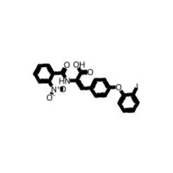 O=C(O)/C(=C\c1ccc(Oc2ccccc2I)cc1)NC(=O)c1ccccc1[N+](=O)[O-]